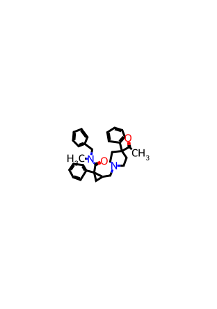 CC(=O)C1(c2ccccc2)CCN(CC2CC2(C(=O)N(C)Cc2ccccc2)c2ccccc2)CC1